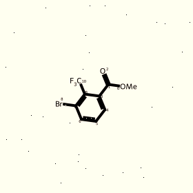 COC(=O)c1cccc(Br)c1C(F)(F)F